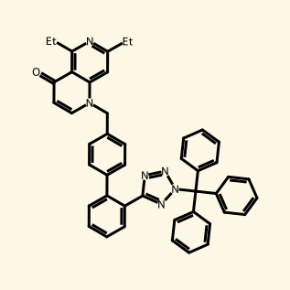 CCc1cc2c(c(CC)n1)c(=O)ccn2Cc1ccc(-c2ccccc2-c2nnn(C(c3ccccc3)(c3ccccc3)c3ccccc3)n2)cc1